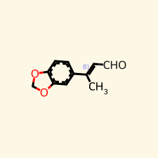 C/C(=C\C=O)c1ccc2c(c1)OCO2